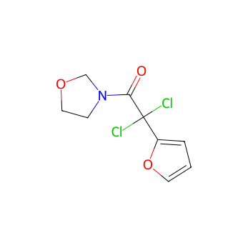 O=C(N1CCOC1)C(Cl)(Cl)c1ccco1